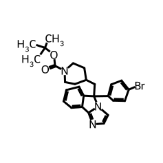 CC(C)(C)OC(=O)N1CCC(CC2(c3ccc(Br)cc3)c3ccccc3-c3nccn32)CC1